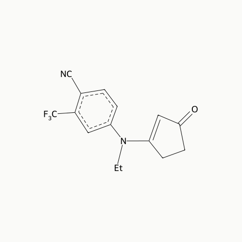 CCN(C1=CC(=O)CC1)c1ccc(C#N)c(C(F)(F)F)c1